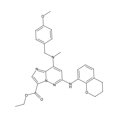 CCOC(=O)c1cnc2c(N(C)Cc3ccc(OC)cc3)cc(Nc3cccc4c3OCCC4)nn12